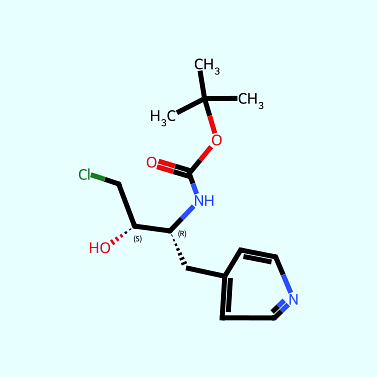 CC(C)(C)OC(=O)N[C@H](Cc1ccncc1)[C@H](O)CCl